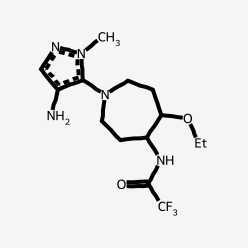 CCOC1CCN(c2c(N)cnn2C)CCC1NC(=O)C(F)(F)F